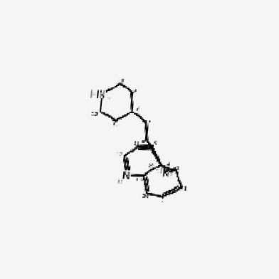 C1=CC2=NCN(CCC3CCNCC3)C23C=CC=NC3=C1